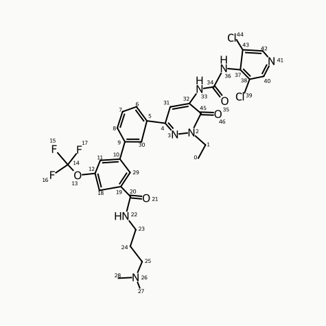 CCn1nc(-c2cccc(-c3cc(OC(F)(F)F)cc(C(=O)NCCCN(C)C)c3)c2)cc(NC(=O)Nc2c(Cl)cncc2Cl)c1=O